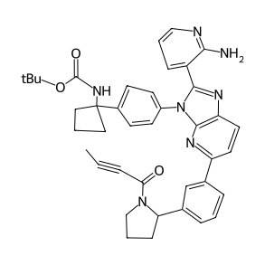 CC#CC(=O)N1CCCC1c1cccc(-c2ccc3nc(-c4cccnc4N)n(-c4ccc(C5(NC(=O)OC(C)(C)C)CCC5)cc4)c3n2)c1